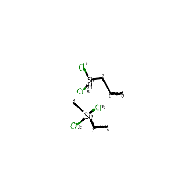 CCC[SiH](Cl)Cl.CC[Si](C)(Cl)Cl